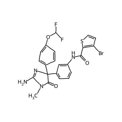 CN1C(=O)C(c2ccc(OC(F)F)cc2)(c2cccc(NC(=O)c3sccc3Br)c2)N=C1N